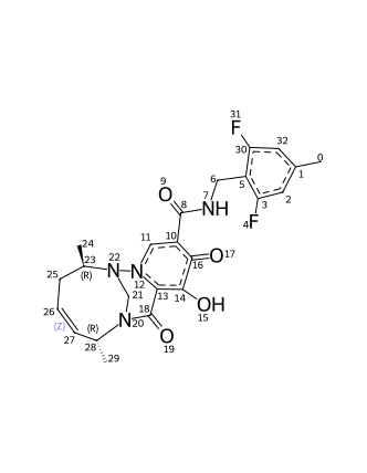 Cc1cc(F)c(CNC(=O)c2cn3c(c(O)c2=O)C(=O)N2CN3[C@H](C)C/C=C\[C@H]2C)c(F)c1